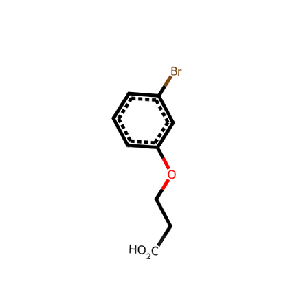 O=C(O)CCOc1cccc(Br)c1